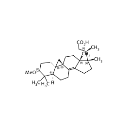 CO[C@@H]1CC[C@]23C[C@]24CC[C@@]2(C)C(=C4CC[C@H]3C1(C)C)CC[C@@]2(C)[C@H](C)CC(=O)O